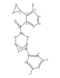 Cc1cc(C)nc(N2CC3CC2CN(C(=O)c2cccc(F)c2C2CC2)C3)n1